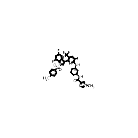 Cc1ccc(S(=O)(=O)n2cc(-c3nc(N[C@@H]4CCC[C@H](NC(=O)c5cn(C)cn5)C4)c(F)cc3C(F)(F)F)c3cc(F)cc(F)c32)cc1